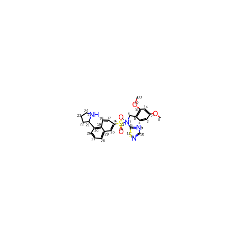 COc1ccc(CN(c2ncns2)S(=O)(=O)c2ccc3c(C4CCCN4)cccc3c2)c(OC)c1